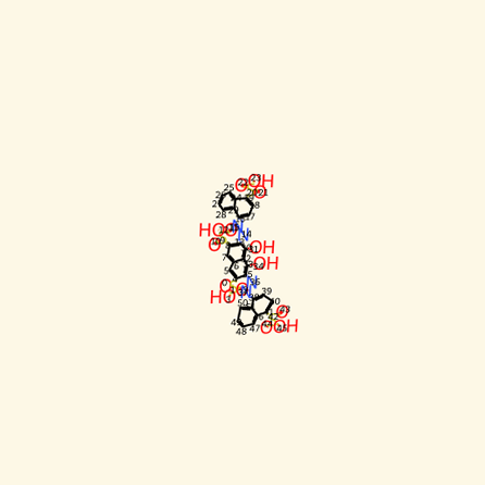 O=S(=O)(O)c1cc2cc(S(=O)(=O)O)c(/N=N/c3ccc(S(=O)(=O)O)c4ccccc34)c(O)c2c(O)c1/N=N/c1ccc(S(=O)(=O)O)c2ccccc12